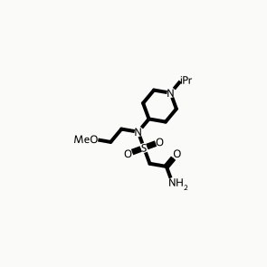 COCCN(C1CCN(C(C)C)CC1)S(=O)(=O)CC(N)=O